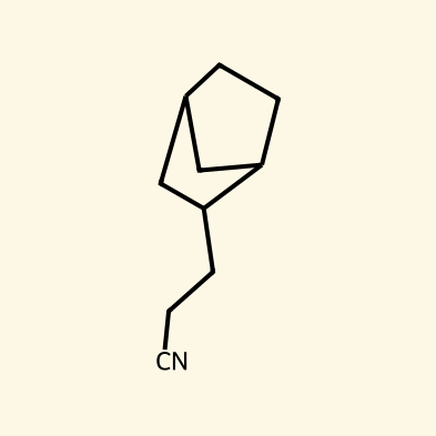 N#CCCC1CC2CCC1C2